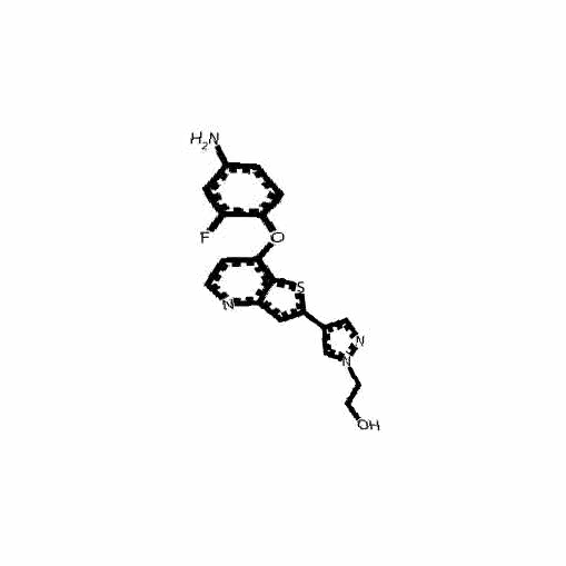 Nc1ccc(Oc2ccnc3cc(-c4cnn(CCO)c4)sc23)c(F)c1